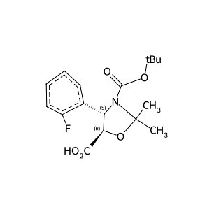 CC(C)(C)OC(=O)N1[C@@H](c2ccccc2F)[C@H](C(=O)O)OC1(C)C